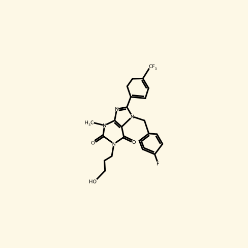 Cn1c(=O)n(CCCO)c(=O)c2c1nc(C1=CC=C(C(F)(F)F)CC1)n2CC1=C=C=C(F)C=C1